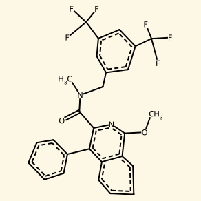 COc1nc(C(=O)N(C)Cc2cc(C(F)(F)F)cc(C(F)(F)F)c2)c(-c2ccccc2)c2ccccc12